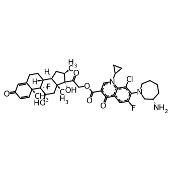 C[C@@H]1C[C@@H]2[C@H]3CCC4=CC(=O)C=C[C@@]4(C)[C@]3(F)[C@H](O)C[C@@]2(C)[C@]1(O)C(=O)COC(=O)c1cn(C2CC2)c2c(Cl)c(N3CCCC[C@H](N)C3)c(F)cc2c1=O